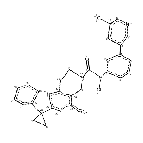 O=C(C(O)c1cccc(-c2cncc(C(F)(F)F)c2)c1)N1CCc2nc(C3(c4ccccc4)CC3)[nH]c(=O)c2C1